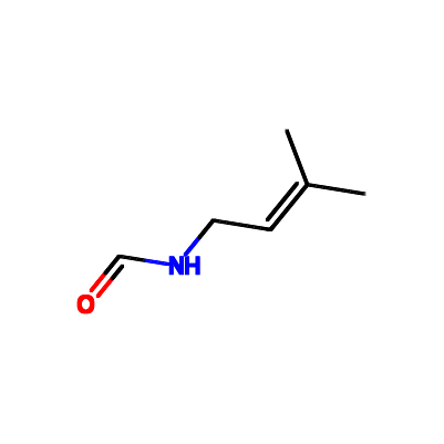 CC(C)=CCNC=O